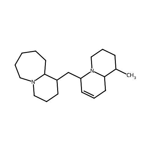 CC1CCCN2C(CC3CCCN4CCCCCC34)C=CCC12